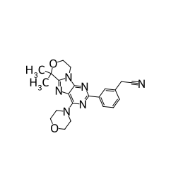 CC1(C)OCCn2c1nc1c(N3CCOCC3)nc(-c3cccc(CC#N)c3)nc12